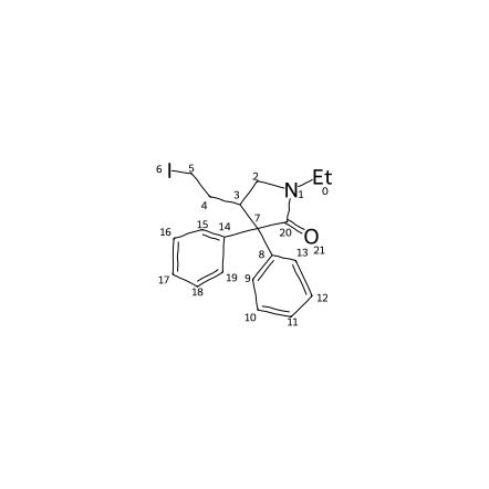 CCN1CC(CCI)C(c2ccccc2)(c2ccccc2)C1=O